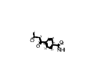 CC(=O)CC(=O)c1ccc(C([NH])=O)cc1